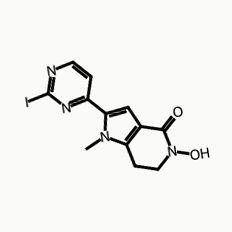 Cn1c(-c2ccnc(I)n2)cc2c1CCN(O)C2=O